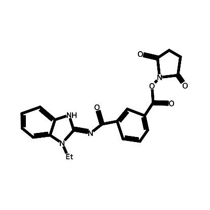 CCn1/c(=N/C(=O)c2cccc(C(=O)ON3C(=O)CCC3=O)c2)[nH]c2ccccc21